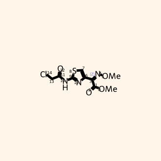 [CH2]OC(=O)/C(=N\OC)c1csc(NC(=O)CCl)n1